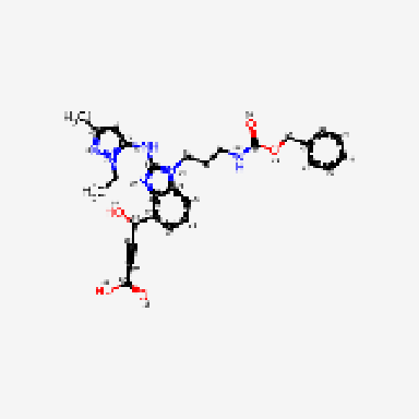 CCn1nc(C)cc1Nc1nc2c(C(O)C#CC(=O)O)cccc2n1CCCNC(=O)OCc1ccccc1